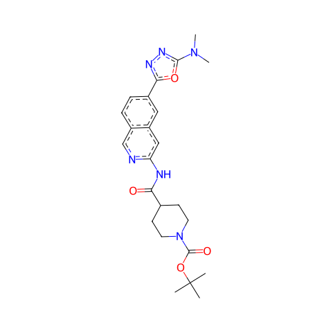 CN(C)c1nnc(-c2ccc3cnc(NC(=O)C4CCN(C(=O)OC(C)(C)C)CC4)cc3c2)o1